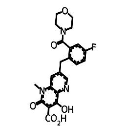 Cn1c(=O)c(C(=O)O)c(O)c2ncc(Cc3ccc(F)cc3C(=O)N3CCOCC3)cc21